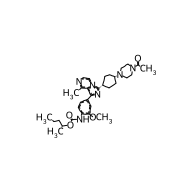 CCC[C@H](C)OC(=O)Nc1ccc(-c2nc([C@H]3CC[C@@H](N4CCN(C(C)=O)CC4)CC3)n3ccnc(C)c23)cc1OC